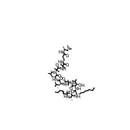 CCCCCCCC[C@H](NC(=O)[C@H](C)NC(=O)/C=C/[C@@H](C)CC)C(=O)N[C@H](C(=O)NC(C)(C)C(=O)N[C@@H](CC(C)C)C(=O)N[C@@H](CC(C)C)C(=O)NC(C)(C)C(=O)NC(C)(C)C(=O)NCCC(=O)N[C@@H](C)CN(C)C)[C@H](O)C(C)C